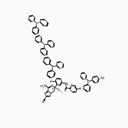 C[C@@]1(c2cc(NC(=O)c3ccc(F)cn3)ccc2F)Cn2cc(C#N)nc2C(N)=N1.[Pd].c1ccc(P(c2ccccc2)c2ccccc2)cc1.c1ccc(P(c2ccccc2)c2ccccc2)cc1.c1ccc(P(c2ccccc2)c2ccccc2)cc1.c1ccc(P(c2ccccc2)c2ccccc2)cc1